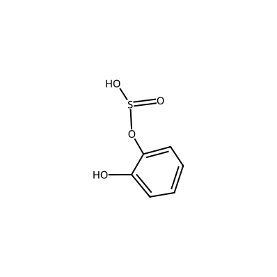 O=S(O)Oc1ccccc1O